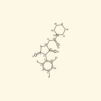 Cc1cc(C)c(C2C(=O)CC(CC(=O)N3CCCCC3)C2=O)c(C)c1